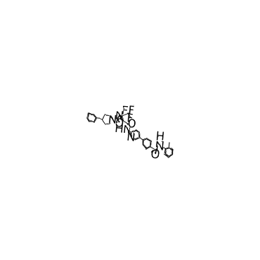 Cc1ccccc1NC(=O)c1ccc(-c2ccc(NC(=O)c3oc(N4CCC(c5ccccc5)CC4)nc3C(F)(F)F)nc2)cc1